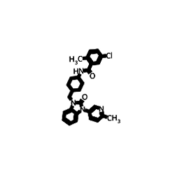 Cc1ccc(-n2c(=O)n(CC3CCC(NC(=O)c4cc(Cl)ccc4C)CC3)c3ccccc32)cn1